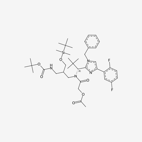 CC(=O)OCC(=O)N(CC(CNC(=O)OC(C)(C)C)CO[Si](C)(C)C(C)(C)C)[C@@H](c1nc(-c2cc(F)ccc2F)cn1Cc1ccccc1)C(C)(C)C